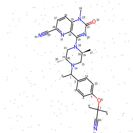 CC(c1ccc(OC(C)(C)C#N)cc1)N1C[C@H](C)N(c2nc(=O)n(C)c3ccc(C#N)nc23)C[C@H]1C